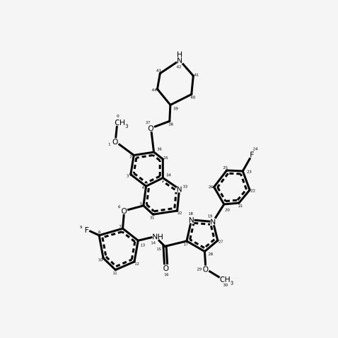 COc1cc2c(Oc3c(F)cccc3NC(=O)c3nn(-c4ccc(F)cc4)cc3OC)ccnc2cc1OCC1CCNCC1